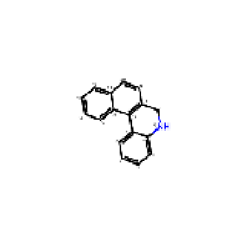 c1ccc2c(c1)NCc1ccc3ccccc3c1-2